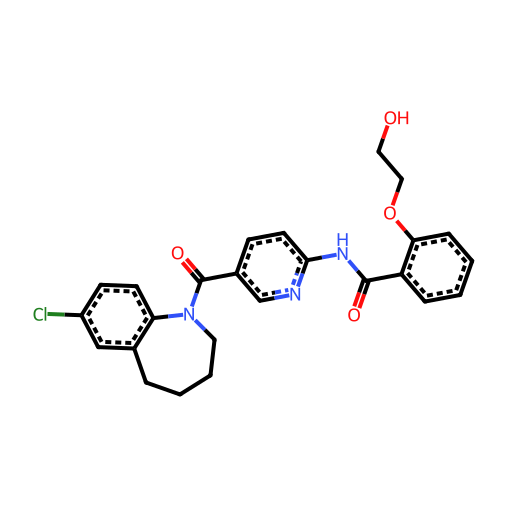 O=C(Nc1ccc(C(=O)N2CCCCc3cc(Cl)ccc32)cn1)c1ccccc1OCCO